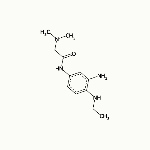 CCNc1ccc(NC(=O)CN(C)C)cc1N